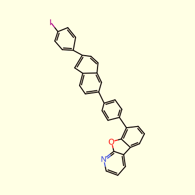 Ic1ccc(-c2ccc3cc(-c4ccc(-c5cccc6c5oc5ncccc56)cc4)ccc3c2)cc1